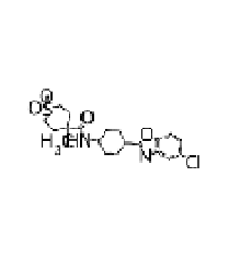 CC1(C(=O)NC2CCC(c3nc4cc(Cl)ccc4o3)CC2)CCS(=O)(=O)CC1